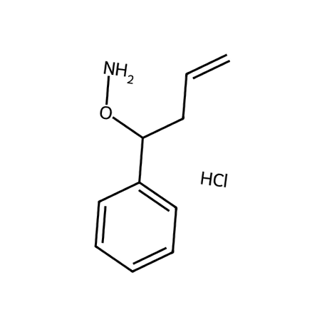 C=CCC(ON)c1ccccc1.Cl